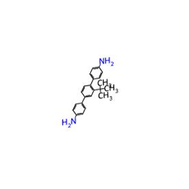 CC(C)(C)c1cc(-c2ccc(N)cc2)ccc1-c1ccc(N)cc1